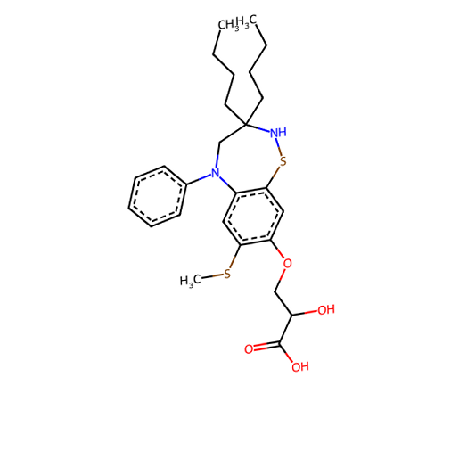 CCCCC1(CCCC)CN(c2ccccc2)c2cc(SC)c(OCC(O)C(=O)O)cc2SN1